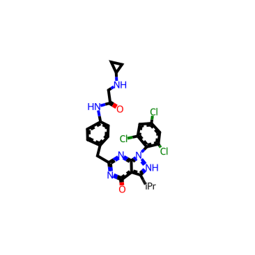 CC(C)c1[nH]n(-c2c(Cl)cc(Cl)cc2Cl)c2nc(Cc3ccc(NC(=O)CNC4CC4)cc3)nc(=O)c1-2